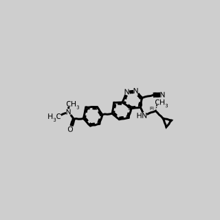 C[C@@H](Nc1c(C#N)nnc2cc(-c3ccc(C(=O)N(C)C)cc3)ccc12)C1CC1